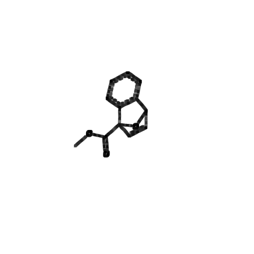 COC(=O)C12C=CC(O1)c1ccccc12